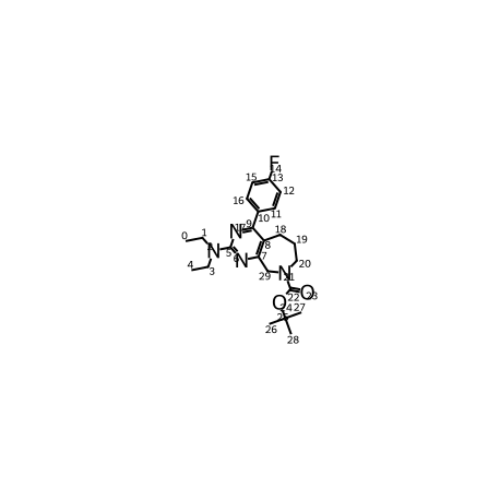 CCN(CC)c1nc2c(c(-c3ccc(F)cc3)n1)CCCN(C(=O)OC(C)(C)C)C2